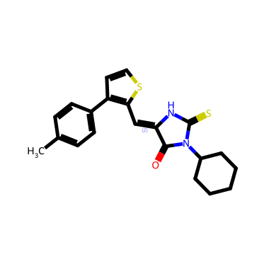 Cc1ccc(-c2ccsc2/C=C2\NC(=S)N(C3CCCCC3)C2=O)cc1